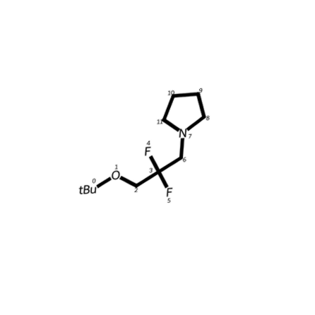 CC(C)(C)OCC(F)(F)CN1CCCC1